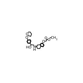 CCOC(=O)COc1ccc2c(c1)C[C@@H](NCC(O)c1ccc(OC3CCCCO3)cc1)CC2